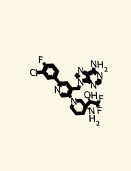 Nc1ncnc2c1ncn2Cc1cc(-c2ccc(F)c(Cl)c2)ncc1N1CCC[C@](N)([C@@H](O)C(F)F)C1